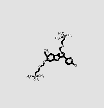 CCc1cc2c(cc1OCOCC[Si](C)(C)C)Cc1c(-c3ccc(Cl)nc3)nn(COCC[Si](C)(C)C)c1-2